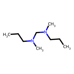 CCCN(C)CN(C)CCC